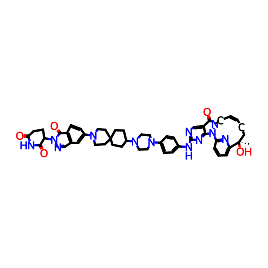 C[C@@]1(O)CC/C=C\Cn2c(=O)c3cnc(Nc4ccc(N5CCN(C6CCC7(CC6)CCN(c6ccc8c(=O)n(C9CCC(=O)NC9=O)ncc8c6)CC7)CC5)cc4)nc3n2-c2cccc1n2